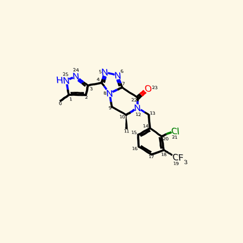 Cc1cc(-c2nnc3n2C[C@H](C)N(Cc2cccc(C(F)(F)F)c2Cl)C3=O)n[nH]1